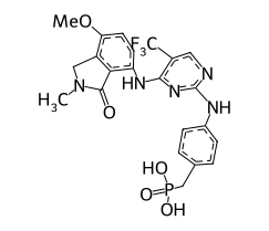 COc1ccc(Nc2nc(Nc3ccc(CP(=O)(O)O)cc3)ncc2C(F)(F)F)c2c1CN(C)C2=O